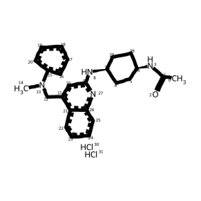 CC(=O)N[C@H]1CC[C@@H](Nc2cc(CN(C)c3ccccc3)c3ccccc3n2)CC1.Cl.Cl